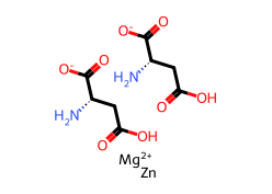 N[C@@H](CC(=O)O)C(=O)[O-].N[C@@H](CC(=O)O)C(=O)[O-].[Mg+2].[Zn]